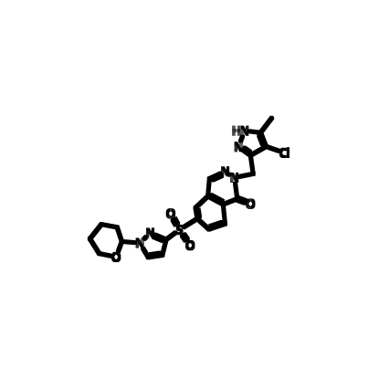 Cc1[nH]nc(Cn2ncc3cc(S(=O)(=O)c4ccn(C5CCCCO5)n4)ccc3c2=O)c1Cl